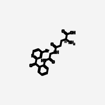 N[C@@H](CCC(=O)NCC(=O)Nc1ccccc1C(=O)c1cc(Br)ccn1)C(=O)O